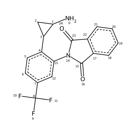 NC1CC1c1ccc(C(F)(F)F)cc1N1C(=O)c2ccccc2C1=O